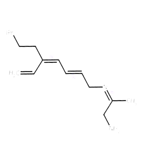 C=C/C(=C\C=C\C/N=C(/C)CN)CCC(C)C